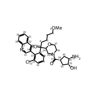 COCCCCC(O)(c1cccc(Cl)c1-c1cnc2ccccc2c1)C1CN(C(=O)[C@H]2C[C@@H](N)[C@@H](O)C2)CCO1